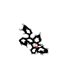 c1ccc(-c2c3ccccc3c(-c3ccccc3)c3c(-c4nc5ccccc5s4)cccc23)cc1